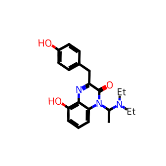 CCN(CC)C(C)n1c(=O)c(Cc2ccc(O)cc2)nc2c(O)cccc21